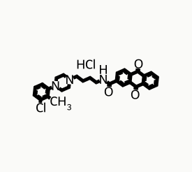 Cc1c(Cl)cccc1N1CCN(CCCCNC(=O)c2ccc3c(c2)C(=O)c2ccccc2C3=O)CC1.Cl